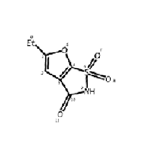 CCc1cc2c(o1)S(=O)(=O)NC2=O